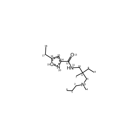 CCCN(C)CC(C)(CC)CNC(=O)c1cc(CC)on1